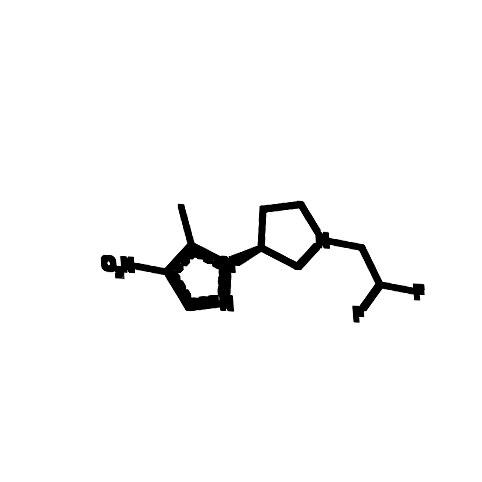 Cc1c([N+](=O)[O-])cnn1[C@H]1CCN(CC(F)F)C1